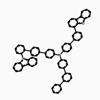 c1ccc(-c2cccc(-c3ccc(N(c4ccc(-c5ccc(-c6ccccc6-n6c7ccccc7c7ccccc76)cc5)cc4)c4ccc(-c5cccc(-c6cccc7c6oc6ccccc67)c5)cc4)cc3)c2)cc1